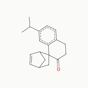 CC(C)c1ccc2c(c1)C1(CC3C=CC1C3)C(=O)CC2